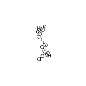 O=C1CCC(N2Cc3c(CCCCN4CCCC4C(=O)N4CCC5(CC4)C(=O)Nc4cc(Cl)ccc45)cccc3C2=O)C(=O)N1